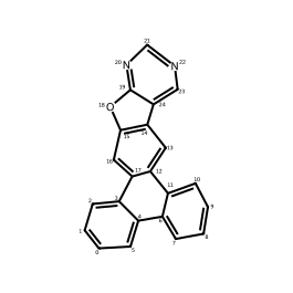 c1ccc2c(c1)c1ccccc1c1cc3c(cc21)oc1ncncc13